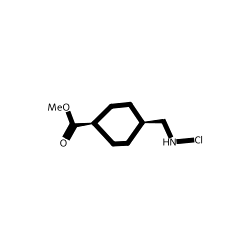 COC(=O)[C@H]1CC[C@@H](CNCl)CC1